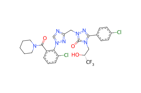 O=C(c1cccc(Cl)c1-n1cnc(Cn2nc(-c3ccc(Cl)cc3)n(C[C@@H](O)C(F)(F)F)c2=O)n1)N1CCCCC1